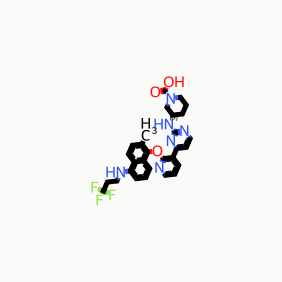 Cc1ccc2c(NCCC(F)(F)F)cccc2c1Oc1ncccc1-c1ccnc(N[C@H]2CCCN(C(=O)O)C2)n1